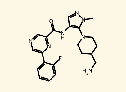 Cn1ncc(NC(=O)c2cncc(-c3ccccc3F)n2)c1N1CCC(CN)CC1